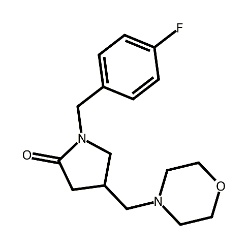 O=C1CC(CN2CCOCC2)CN1Cc1ccc(F)cc1